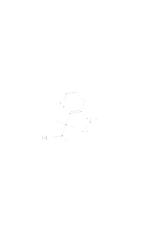 Cc1ccc([N+](=O)[O-])c(C(C)(C)C(=O)O)n1